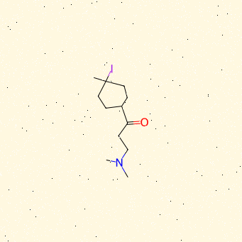 CN(C)CCC(=O)C1CCC(C)(I)CC1